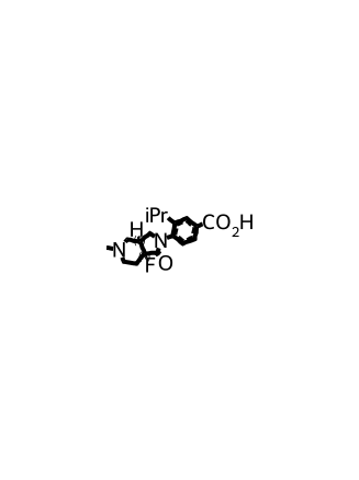 CC(C)c1cc(C(=O)O)ccc1N1C[C@@H]2CN(C)CC[C@]2(F)C1=O